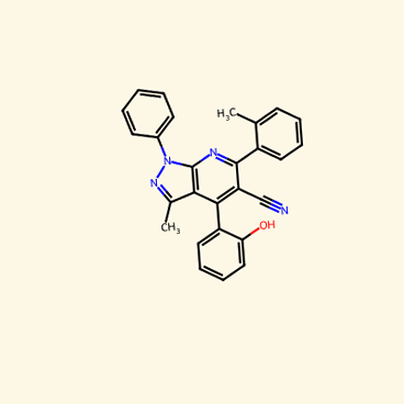 Cc1ccccc1-c1nc2c(c(C)nn2-c2ccccc2)c(-c2ccccc2O)c1C#N